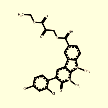 CCOC(=O)C(=O)CSC(=N)c1ccc2c(c1)c1cc(-c3ccc(Cl)cc3Cl)c(=O)n(C)c1n2C